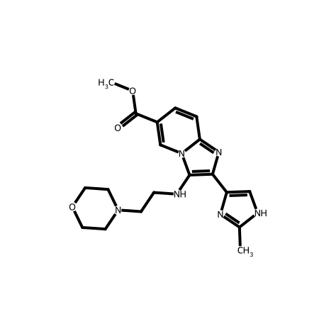 COC(=O)c1ccc2nc(-c3c[nH]c(C)n3)c(NCCN3CCOCC3)n2c1